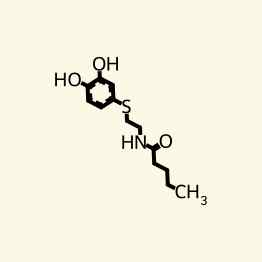 CCCCC(=O)NCCSc1ccc(O)c(O)c1